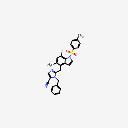 Cc1ccc(S(=O)(=O)n2ccc3c(Cc4ncc(C#N)n4Cc4ccccc4)c(C)cc(Cl)c32)cc1